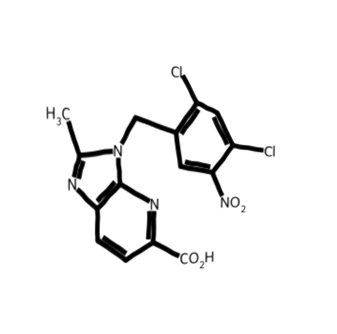 Cc1nc2ccc(C(=O)O)nc2n1Cc1cc([N+](=O)[O-])c(Cl)cc1Cl